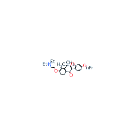 CCCOc1ccc2c3c(oc2c1)C(C)(C)C1=C(CCC(OCCN(CC)CC)=C1)C3=O